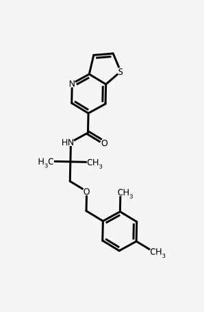 Cc1ccc(COCC(C)(C)NC(=O)c2cnc3ccsc3c2)c(C)c1